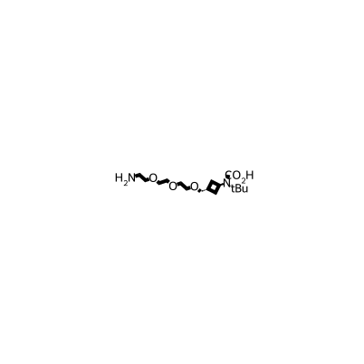 CC(C)(C)N(C(=O)O)[C@H]1C[C@H](COCCOCCOCCN)C1